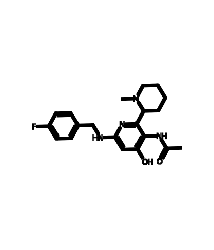 CC(=O)Nc1c(O)cc(NCc2ccc(F)cc2)nc1C1CCCCN1C